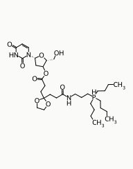 CCCC[PH](CCCC)(CCCC)CCCNC(=O)CCC1(CCC(=O)OC2C[C@H](n3ccc(=O)[nH]c3=O)O[C@@H]2CO)OCCO1